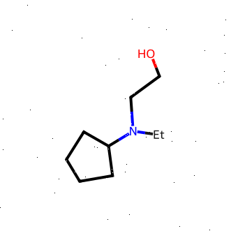 CCN(CCO)C1CCCC1